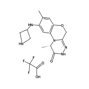 Cc1cc2c(cc1NC1CNC1)N1C(=NNC(=O)[C@@H]1C)CO2.O=C(O)C(F)(F)F